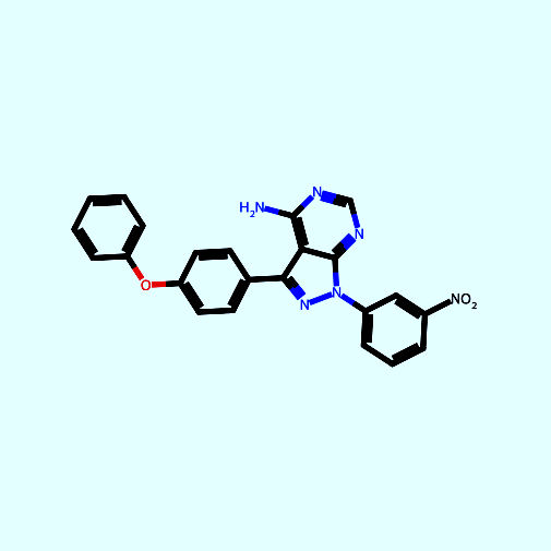 Nc1ncnc2c1c(-c1ccc(Oc3ccccc3)cc1)nn2-c1cccc([N+](=O)[O-])c1